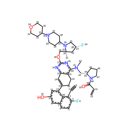 C#Cc1c(F)ccc2cc(O)cc(C3=Cc4nc(OC[C@]5(C)C[C@@H](F)CN5C5CCN(C6CCOCC6)CC5)nc(N(C)C[C@@H]5CCCN5C(=O)C=C)c4CC3)c12